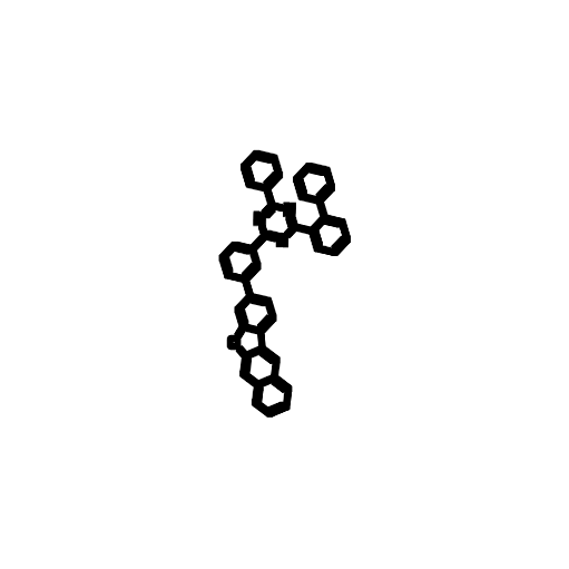 c1ccc(-c2nc(-c3cccc(-c4ccc5c(c4)oc4cc6ccccc6cc45)c3)nc(-c3ccccc3-c3ccccc3)n2)cc1